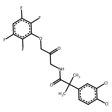 CC(C)(C(=O)NCC(=O)COc1c(F)c(F)cc(F)c1F)c1ccc(Cl)c(Cl)c1